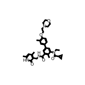 CCN(C(=O)C1CC1)c1cc(-c2ccc(OCCN3CCOCC3)c(C)c2)cc(C(=O)NCc2c(C)cc(C)[nH]c2=O)c1C